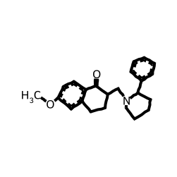 COc1ccc2c(c1)CCC(CN1CCCCC1c1ccccc1)C2=O